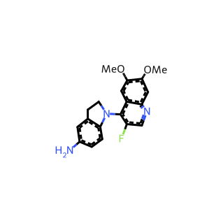 COc1cc2ncc(F)c(N3CCc4cc(N)ccc43)c2cc1OC